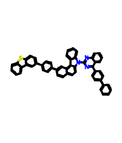 c1ccc(-c2ccc(-c3nc(-n4c5ccccc5c5c6cc(-c7ccc(-c8ccc9sc%10ccccc%10c9c8)cc7)ccc6ccc54)nc4ccccc34)cc2)cc1